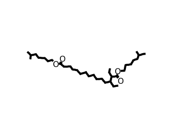 CCC(CCCCCCCCCCCC(=O)OCCCCCC(C)C)C(CC)C(=O)OCCCCCC(C)C